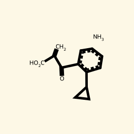 C=C(C(=O)O)C(=O)c1ccccc1C1CC1.N